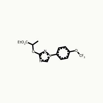 CCOC(=O)C(C)Oc1ncn(-c2ccc(OC(F)(F)F)cc2)n1